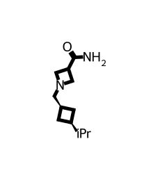 CC(C)[C@H]1C[C@@H](CN2CC(C(N)=O)C2)C1